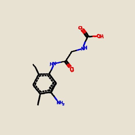 Cc1cc(C)c(NC(=O)CNC(=O)O)cc1N